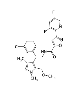 COCc1c(C(CNC(=O)c2cc(-c3ncc(F)cc3F)no2)c2cccc(Cl)n2)c(C)nn1C